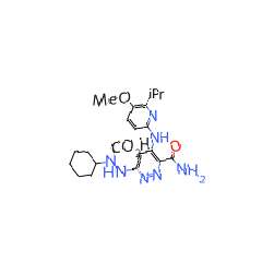 COc1ccc(Nc2cc(NN(C(=O)O)C3CCCCC3)nnc2C(N)=O)nc1C(C)C